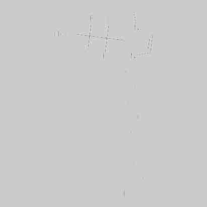 CCCCCCCCCCCCCCCCCCN1C=CN(C)C1C(F)(F)C(F)(F)S(=O)(=O)O